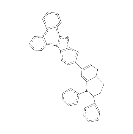 C1=C(c2ccc3c(c2)nc2c4ccccc4c4ccccc4n32)C=C2C(C1)CCC(c1ccccc1)N2c1ccccc1